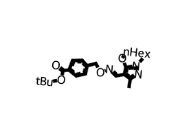 CCCCCCOc1c(C=NOCc2ccc(C(=O)OC(C)(C)C)cc2)c(C)nn1C